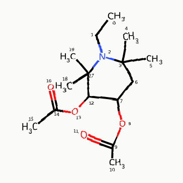 CCN1C(C)(C)CC(OC(C)=O)C(OC(C)=O)C1(C)C